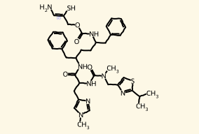 CC(C)c1nc(CN(C)C(=O)NC(Cc2cn(C)cn2)C(=O)NC(CCC(Cc2ccccc2)NC(=O)OC/C(S)=C/N)Cc2ccccc2)cs1